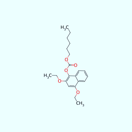 CCCCCCOC(=O)Oc1c(OCC)cc(OCC)c2ccccc12